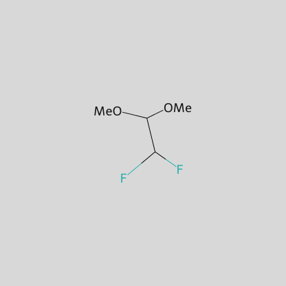 COC(OC)C(F)F